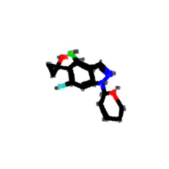 OC1(c2c(F)cc3c(cnn3C3CCCCO3)c2Cl)CC1